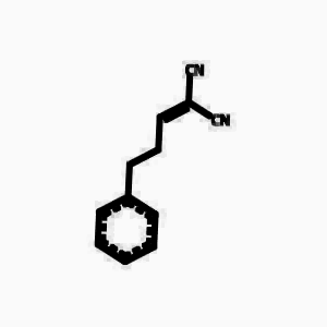 N#CC(C#N)=CCCc1ccccc1